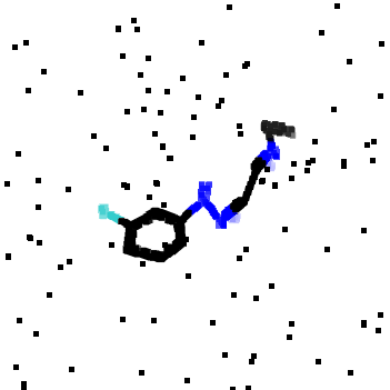 CO/N=C/C=N\Nc1cccc(F)c1